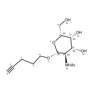 C#CCCCO[C@@H]1O[C@H](CO)[C@H](O)[C@H](O)[C@H]1NC(C)=O